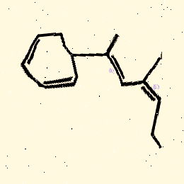 CC/C=C(I)\C=C(/C)C1C=CC=CC1